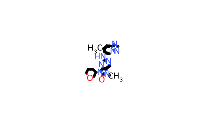 Cc1cc2ncnn2cc1Nc1ncc2c(n1)n(C1CCCOC1)c(=O)n2C